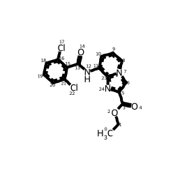 CCOC(=O)c1cn2cccc(NC(=O)c3c(Cl)cccc3Cl)c2n1